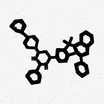 CC1(C)c2cc(C3CC(C4C=CC(c5ccccc5)=CC4)NC(c4ccccc4)N3)ccc2-c2c(-c3ccccc3)cc3ccccc3c21